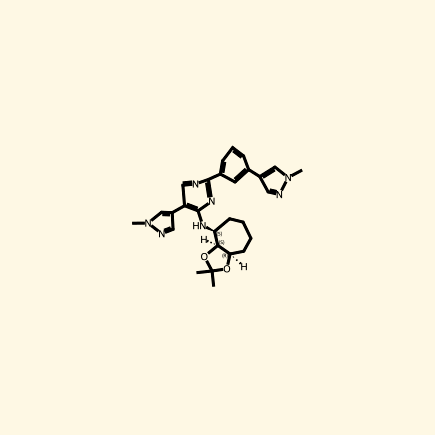 Cn1cc(-c2cccc(-c3ncc(-c4cnn(C)c4)c(N[C@H]4CCCC[C@H]5OC(C)(C)O[C@@H]45)n3)c2)cn1